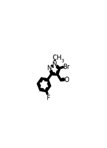 Cn1nc(-c2cccc(F)c2)c(C=O)c1Br